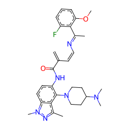 C=C(/C=C\N=C(/C)c1c(F)cccc1OC)C(=O)Nc1ccc2c(c(C)nn2C)c1N1CCC(N(C)C)CC1